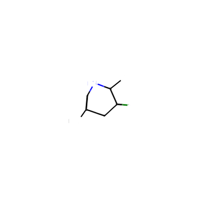 CC1CNC(C)C(F)C1